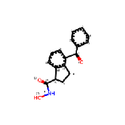 O=C(c1ccccc1)c1cccc2c1CCC2C(=O)NO